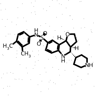 Cc1ccc(NS(=O)(=O)c2ccc3c(c2)[C@H]2OCC[C@H]2[C@H](C2CCNCC2)N3)cc1C